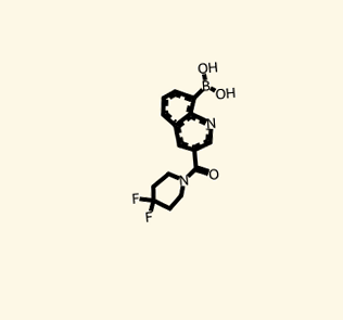 O=C(c1cnc2c(B(O)O)cccc2c1)N1CCC(F)(F)CC1